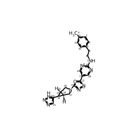 Cc1ccc(CCNc2ncc(-c3nnc(N4C[C@@H]5C(c6cnn[nH]6)[C@@H]5C4)o3)cn2)cc1